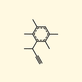 [C]#CC(C)c1c(C)c(C)cc(C)c1C